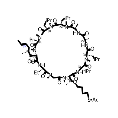 C/C=C/C[C@@H](C)[C@@H](O)[C@H]1C(=O)N[C@@H](CC)C(=O)N(C)CC(=O)N(C)[C@@H]([C@@H](C)OCCCCSC(C)=O)C(=O)N[C@@H](C(C)C)C(=O)N(C)[C@@H](CC(C)C)C(=O)N[C@@H](C)C(=O)N[C@H](C)C(=O)N(C)[C@@H](CC(C)C)C(=O)N(C)[C@H](CC(C)C)C(=O)N(C)[C@H](C(C)C)C(=O)N1C